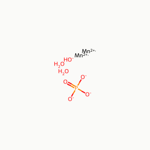 O.O.O=P([O-])([O-])[O-].[Mn+2].[Mn+2].[OH-]